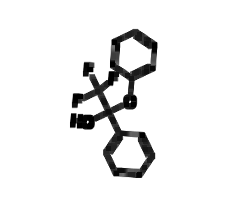 OC(Oc1ccccc1)(c1ccccc1)C(F)(F)F